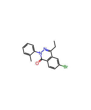 CCc1nn(-c2ccccc2C)c(=O)c2ccc(Br)cc12